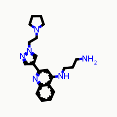 NCCCNc1cc(-c2cnn(CCN3CCCC3)c2)nc2ccccc12